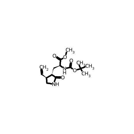 C=C[C@@H]1CNC(=O)[C@H]1C[C@H](NC(=O)OC(C)(C)C)C(=O)OC